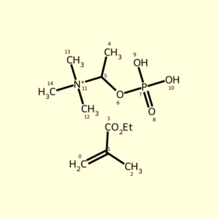 C=C(C)C(=O)OCC.CC(OP(=O)(O)O)[N+](C)(C)C